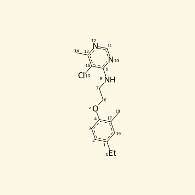 CCc1ccc(OCCNc2ncnc(C)c2Cl)c(C)c1